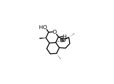 C[C@H]1C(O)O[C@@H]2O[C@]3(C)CCC4[C@H](C)CCC1[C@]42OO3